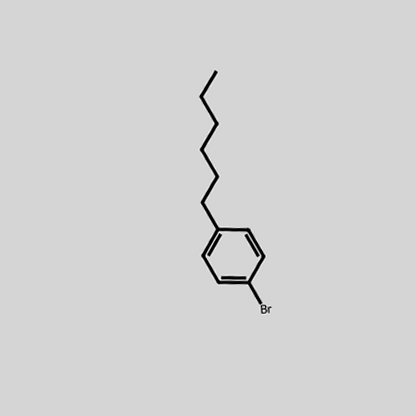 CCCCCCc1ccc(Br)cc1